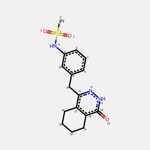 CC(C)S(=O)(=O)Nc1cccc(Cc2n[nH]c(=O)c3c2CCCC3)c1